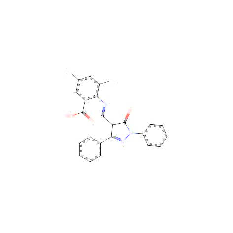 Cc1cc(C)c(/N=C/C2C(=O)N(c3ccccc3)N=C2c2ccccc2)c(C(=O)O)c1